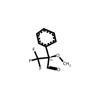 CO[C@](C=O)(c1ccccc1)C(F)(F)F